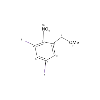 COCc1cc(I)cc(I)c1[N+](=O)[O-]